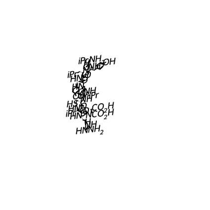 CC(C)C[C@H](NC(=O)[C@H](Cc1ccc(O)cc1)NC(=O)[C@@H](N)C(C)C)C(=O)N[C@@H](Cc1ccc(O)cc1)C(=O)NCC(=O)N[C@H](C(=O)N[C@@H](CS)C(=O)N[C@H](C(=O)N[C@@H](CCCNC(=N)N)C(=O)N[C@@H](CC(=O)O)C(=O)O)C(C)C)C(C)C